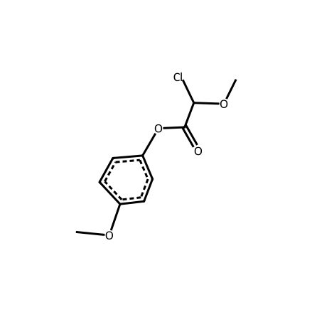 COc1ccc(OC(=O)C(Cl)OC)cc1